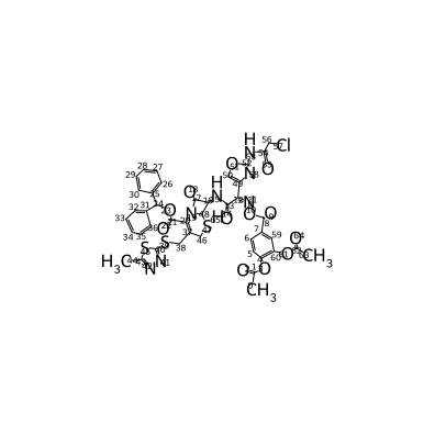 CC(=O)Oc1ccc(C(=O)O/N=C(\C(=O)N[C@@H]2C(=O)N3C(C(=O)OC(c4ccccc4)c4ccccc4)=C(CSc4nnc(C)s4)CS[C@H]23)c2coc(NC(=O)CCl)n2)cc1OC(C)=O